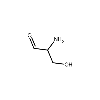 NC(C=O)CO